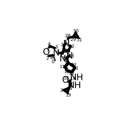 C[C@H]1COCCN1c1nc(-c2ccc(NC(=O)NC3CC3)cc2)nc2c1CN(CC1CC1)C2